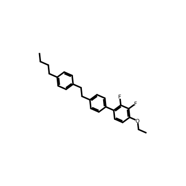 CCCCc1ccc(CCc2ccc(-c3ccc(OCC)c(F)c3F)cc2)cc1